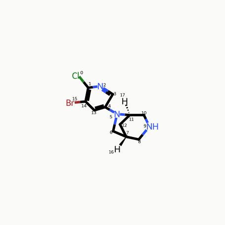 Clc1ncc(N2C[C@H]3CNC[C@H]2C3)cc1Br